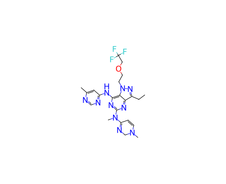 CCc1nn(CCOCC(F)(F)F)c2c(Nc3cc(C)ncn3)nc(N(C)C3=NCN(C)C=C3)nc12